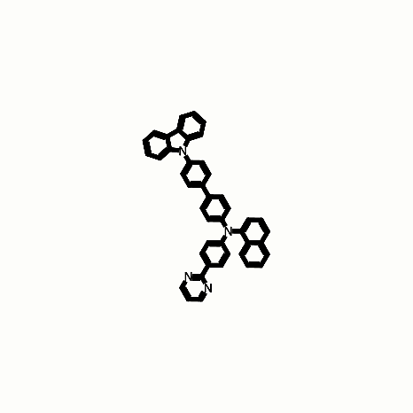 c1cnc(-c2ccc(N(c3ccc(-c4ccc(-n5c6ccccc6c6ccccc65)cc4)cc3)c3cccc4ccccc34)cc2)nc1